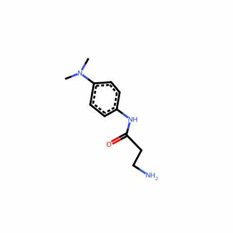 CN(C)c1ccc(NC(=O)CCN)cc1